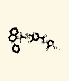 CN1CC[C@@H](NC(=O)c2cnc(NNC(=S)N[C@H]3c4ccccc4CC[C@@H]3c3ccccc3)c(Cl)c2)C1=O